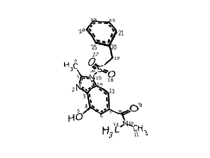 Cc1nc2c(O)cc(C(=O)N(C)C)cc2n1S(=O)(=O)Cc1ccccc1